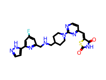 O=C1NC(=O)C(=Cc2ccnc(N3CCC(CNCc4cc(F)cc(-c5ccn[nH]5)n4)CC3)n2)S1